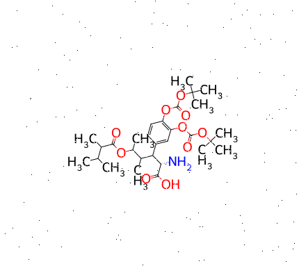 CC(C)C(C)C(=O)OC(C)C(C)C(c1ccc(OC(=O)OC(C)(C)C)c(OC(=O)OC(C)(C)C)c1)[C@H](N)C(=O)O